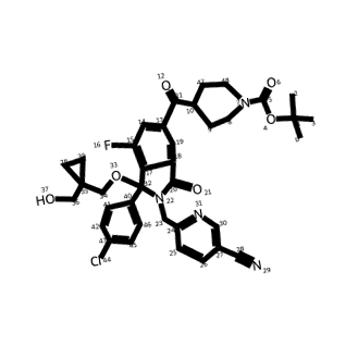 CC(C)(C)OC(=O)N1CCC(C(=O)c2cc(F)c3c(c2)C(=O)N(Cc2ccc(C#N)cn2)C3(OCC2(CO)CC2)c2ccc(Cl)cc2)CC1